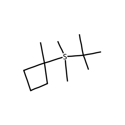 CC(C)(C)S(C)(C)C1(C)CCC1